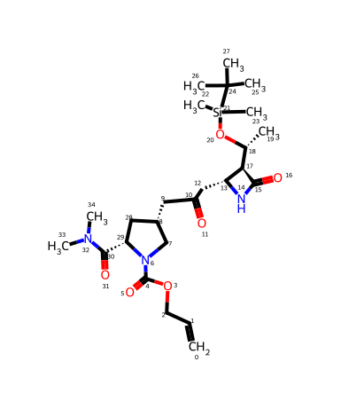 C=CCOC(=O)N1C[C@@H](CC(=O)C[C@H]2NC(=O)[C@@H]2[C@@H](C)O[Si](C)(C)C(C)(C)C)C[C@H]1C(=O)N(C)C